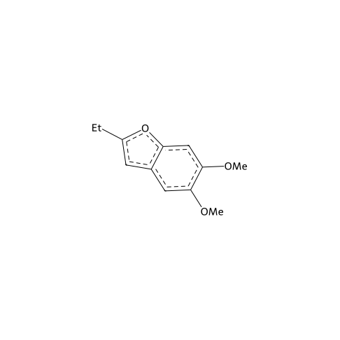 CCc1cc2cc(OC)c(OC)cc2o1